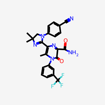 Cc1c(C2=NC(C)(C)CN2c2ccc(C#N)cc2)nc(C(N)=O)c(=O)n1-c1cccc(C(F)(F)F)c1